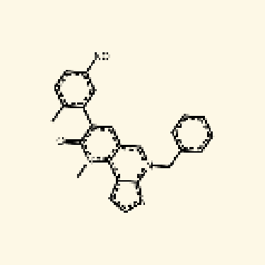 Cc1ccc(N=O)cc1-c1cc2cn(Cc3ccccc3)c3nccc-3c2n(C)c1=O